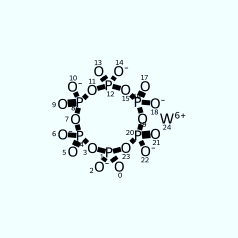 O=P1([O-])OP(=O)([O-])OP(=O)([O-])OP(=O)([O-])OP(=O)([O-])OP(=O)([O-])O1.[W+6]